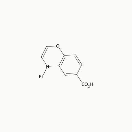 [CH2]CN1C=COc2ccc(C(=O)O)cc21